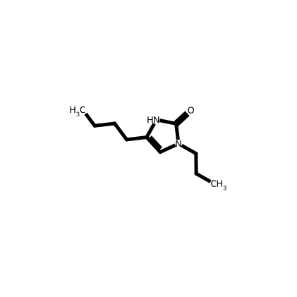 CCCCc1cn(CCC)c(=O)[nH]1